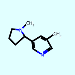 Cc1cncc(C2CCCN2C)c1